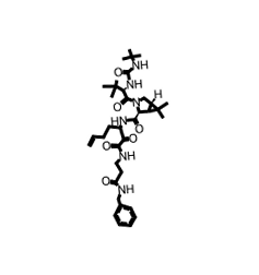 C=CCCC(NC(=O)[C@@H]1C2[C@H](CN1C(=O)[C@@H](NC(=O)NC(C)(C)C)C(C)(C)C)C2(C)C)C(=O)C(=O)NCCC(=O)NCc1ccccc1